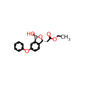 CCOC(=O)C[C@H]1OB(O)c2cc(Oc3ccccc3)ccc21